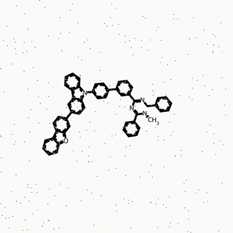 C=N/C(=N\C(=N/Cc1ccccc1)c1cccc(-c2ccc(-n3c4ccccc4c4cc(-c5ccc6c(c5)oc5ccccc56)ccc43)cc2)c1)c1ccccc1